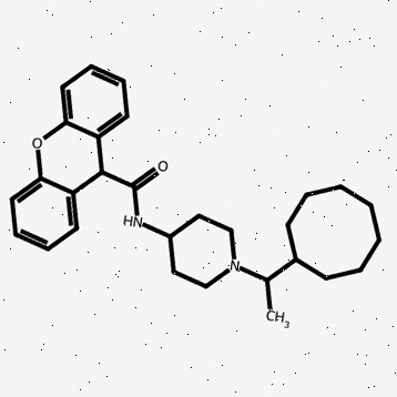 CC(C1CCCCCCC1)N1CCC(NC(=O)C2c3ccccc3Oc3ccccc32)CC1